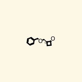 O=C1CC[C@H]1COCc1ccccc1